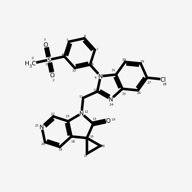 CS(=O)(=O)c1cccc(-n2c(CN3C(=O)C4(CC4)c4ccncc43)nc3cc(Cl)ccc32)c1